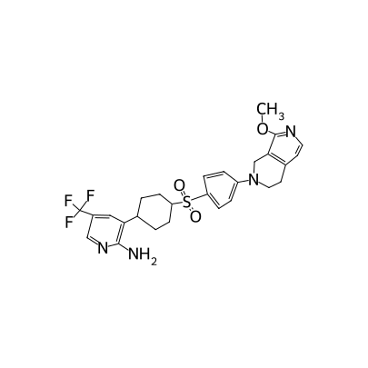 COc1nccc2c1CN(c1ccc(S(=O)(=O)C3CCC(c4cc(C(F)(F)F)cnc4N)CC3)cc1)CC2